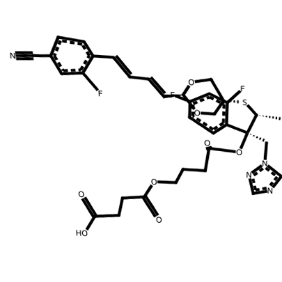 C[C@@H](S[C@H]1CO[C@H](/C=C/C=C/c2ccc(C#N)cc2F)OC1)[C@@](Cn1cncn1)(OC(=O)CCCOC(=O)CCC(=O)O)c1ccc(F)cc1F